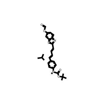 CC(C)C.CN(C(=O)OC(C)(C)C)c1ccc(C=CC=Cc2nc3ccc(OC=O)cc3s2)cc1